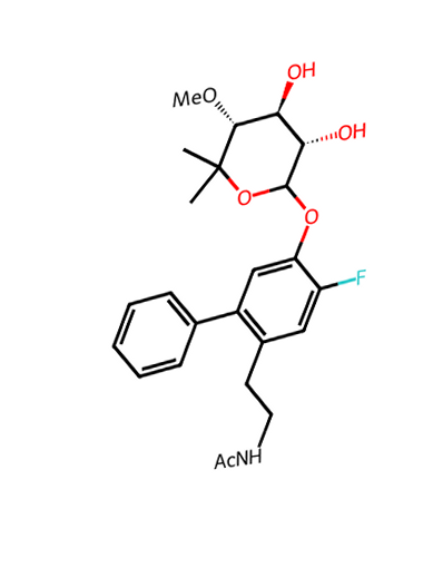 CO[C@@H]1[C@@H](O)[C@H](O)C(Oc2cc(-c3ccccc3)c(CCNC(C)=O)cc2F)OC1(C)C